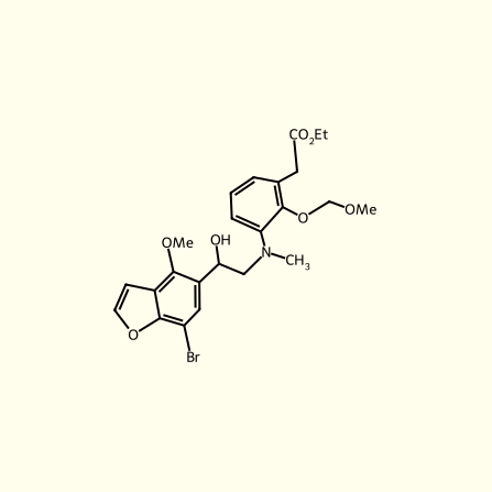 CCOC(=O)Cc1cccc(N(C)CC(O)c2cc(Br)c3occc3c2OC)c1OCOC